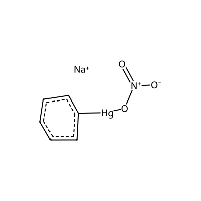 O=[N+]([O-])[O][Hg][c]1ccccc1.[Na+]